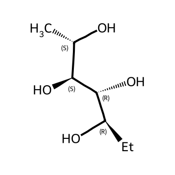 CC[C@@H](O)[C@@H](O)[C@@H](O)[C@H](C)O